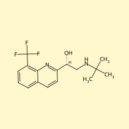 CC(C)(C)NC[C@@H](O)c1ccc2cccc(C(F)(F)F)c2n1